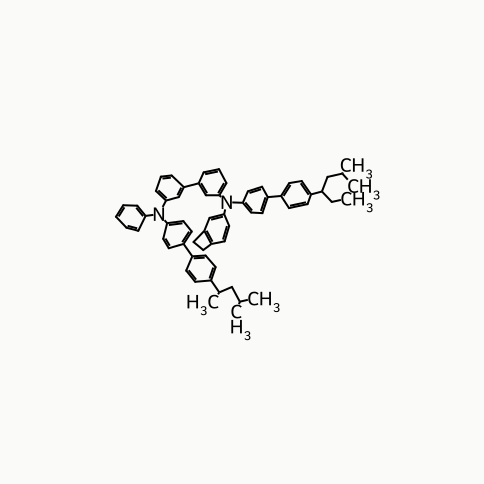 CCC(CC(C)C)c1ccc(-c2ccc(N(c3cccc(-c4cccc(N(c5ccccc5)c5ccc(-c6ccc(C(C)CC(C)C)cc6)cc5)c4)c3)c3ccc4c(c3)CC4)cc2)cc1